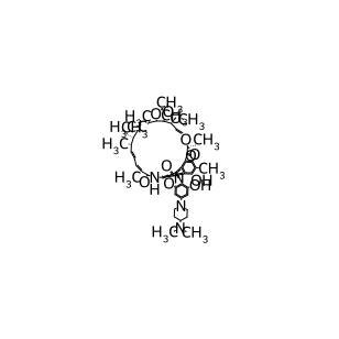 CC[C@H]1[C@@H](C)/C=C/C=C(/C)C(=O)Nc2c3oc4cc(N5CCC(N(C)C)CC5)cc(O)c4nc-3c3c4c(c(C)c(O)c3c2=O)O[C@](CC)(O/C=C/[C@H](OC)[C@@H](C)[C@@H](OC(C)=O)[C@H](C)C[C@@H]1C)C4=O